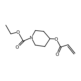 C=CC(=O)OC1CCN(C(=O)OCC)CC1